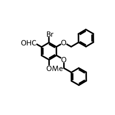 COc1cc(C=O)c(Br)c(OCc2ccccc2)c1OCc1ccccc1